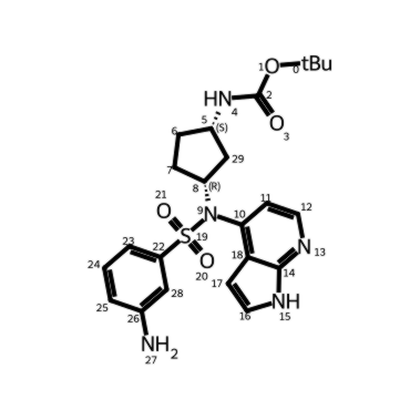 CC(C)(C)OC(=O)N[C@H]1CC[C@@H](N(c2ccnc3[nH]ccc23)S(=O)(=O)c2cccc(N)c2)C1